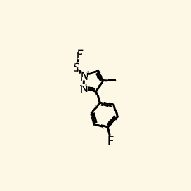 Cc1cn(SF)nc1-c1ccc(F)cc1